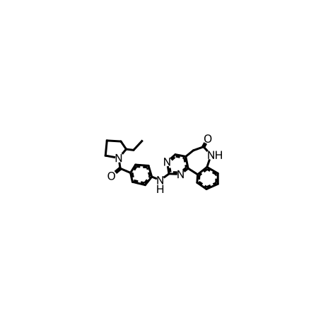 CCC1CCCN1C(=O)c1ccc(Nc2ncc3c(n2)-c2ccccc2NC(=O)C3)cc1